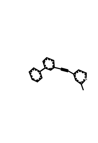 Cc1cc(C#Cc2cccc(-c3ccccc3)c2)ccn1